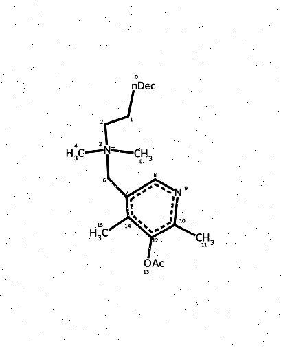 CCCCCCCCCCCC[N+](C)(C)Cc1cnc(C)c(OC(C)=O)c1C